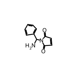 NC(c1ccccc1)N1C(=O)C=CC1=O